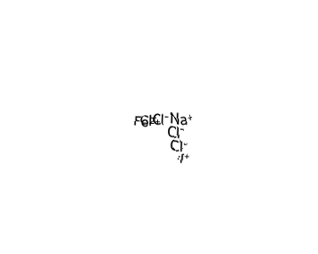 [Cl-].[Cl-].[Cl-].[Cl-].[Fe+2].[I+].[Na+]